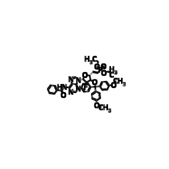 CCOP(=O)(/C=C/[C@H]1O[C@@H](n2cnc3c(NC(=O)c4ccccc4)ncnc32)[C@H](F)[C@@H]1OC(c1ccccc1)(c1ccc(OC)cc1)c1ccc(OC)cc1)OCC